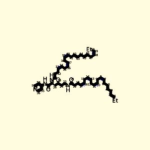 CCC=CCC=CC/C=C\C/C=C\C/C=C\C/C=C\CCC(=O)NCCCC[C@H](NC(=O)CC/C=C\C/C=C\C/C=C\CC=CCC=CC/C=C\CC)C(=O)Nc1ccncc1